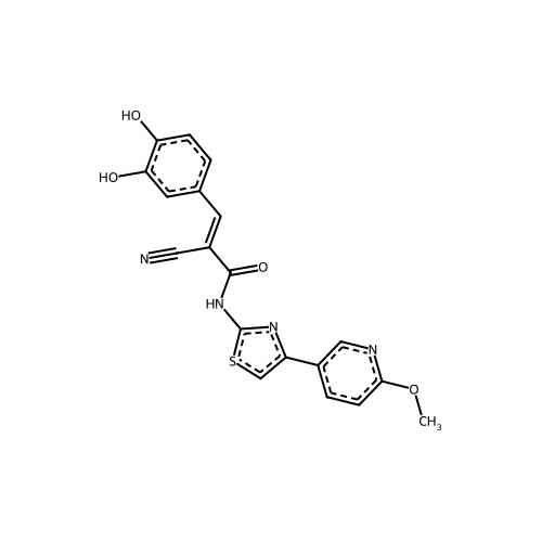 COc1ccc(-c2csc(NC(=O)/C(C#N)=C/c3ccc(O)c(O)c3)n2)cn1